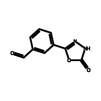 O=Cc1cccc(-c2n[nH]c(=O)o2)c1